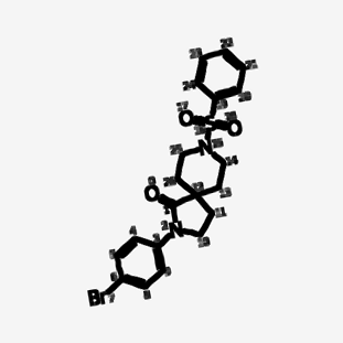 O=C1N(c2ccc(Br)cc2)CCC12CCN(S(=O)(=O)c1ccccc1)CC2